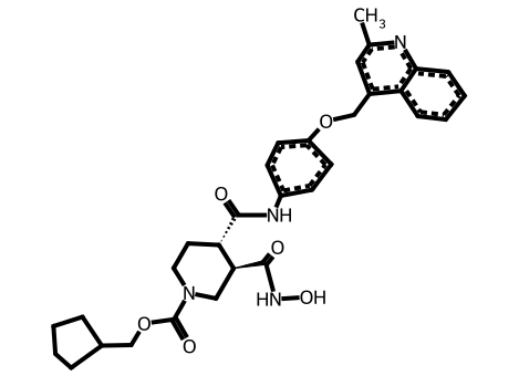 Cc1cc(COc2ccc(NC(=O)[C@H]3CCN(C(=O)OCC4CCCC4)C[C@@H]3C(=O)NO)cc2)c2ccccc2n1